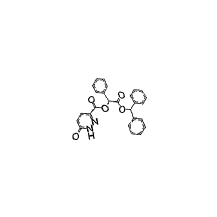 O=C(OC(C(=O)OC(c1ccccc1)c1ccccc1)c1ccccc1)c1ccc(=O)[nH]n1